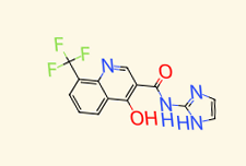 O=C(Nc1ncc[nH]1)c1cnc2c(C(F)(F)F)cccc2c1O